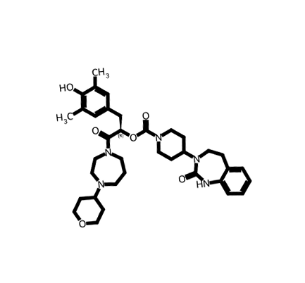 Cc1cc(C[C@@H](OC(=O)N2CCC(N3CCc4ccccc4NC3=O)CC2)C(=O)N2CCCN(C3CCOCC3)CC2)cc(C)c1O